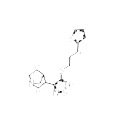 c1csc(CCCSc2nsnc2C2CN3CCC2C3)c1